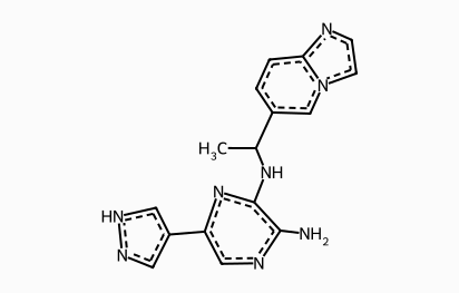 CC(Nc1nc(-c2cn[nH]c2)cnc1N)c1ccc2nccn2c1